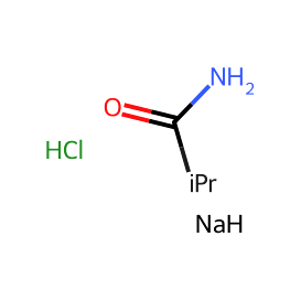 CC(C)C(N)=O.Cl.[NaH]